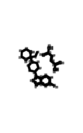 CCC1(N2CCC(c3noc4cc(F)ccc34)CC2)OCCCO1.O=C(O)/C=C/C(=O)O